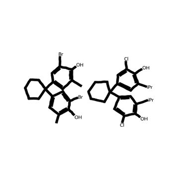 CC(C)c1cc(C2(c3cc(Cl)c(O)c(C(C)C)c3)CCCCC2)cc(Cl)c1O.Cc1cc(C2(c3cc(C)c(O)c(Br)c3)CCCCC2)cc(Br)c1O